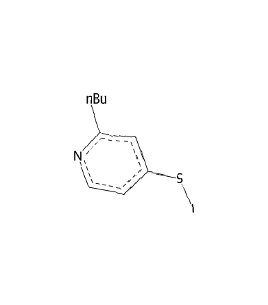 CCCCc1cc(SI)ccn1